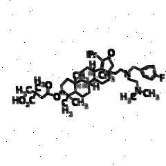 CC(C)C1=C2[C@H]3CCC4[C@@H](CCC5C(C)(C)[C@@H](OC(=O)CC(C)(C)C(=O)O)CC[C@]45C)[C@]3(C)CC[C@@]2(CCN(CCN(C)C)Cc2ccc(F)cc2)CC1=O